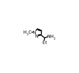 CCC(N)c1ccn(C)n1